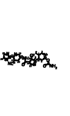 Cc1cnc(OC(N)=O)cc1-n1ncc(C(=O)Nc2cnc(-n3nccn3)c(C#N)c2)c1C(F)(F)F